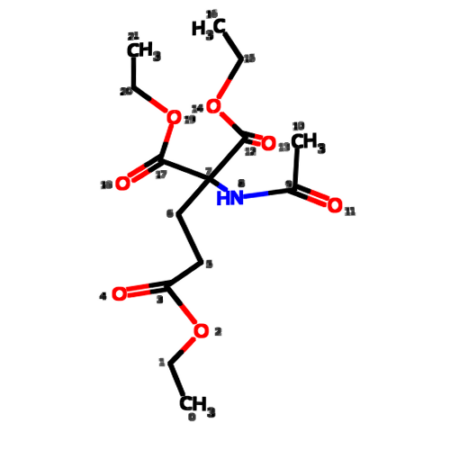 CCOC(=O)CCC(NC(C)=O)(C(=O)OCC)C(=O)OCC